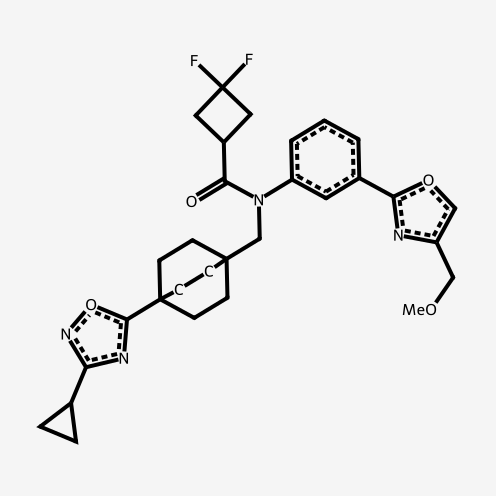 COCc1coc(-c2cccc(N(CC34CCC(c5nc(C6CC6)no5)(CC3)CC4)C(=O)C3CC(F)(F)C3)c2)n1